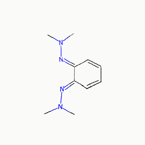 CN(C)N=C1C=CC=CC1=NN(C)C